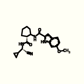 COc1ccc2cc(C(=O)NC3CCCC[C@H]3C(=O)N[C@H](C#N)C3CC3)[nH]c2c1